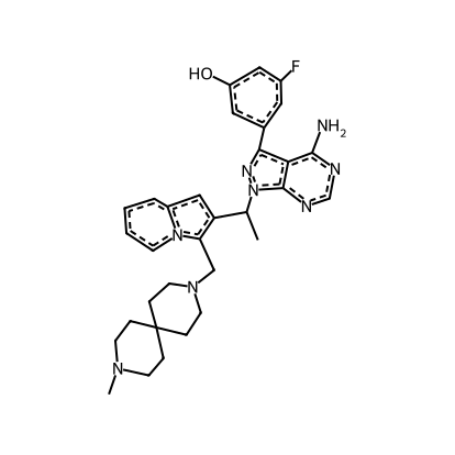 CC(c1cc2ccccn2c1CN1CCC2(CCN(C)CC2)CC1)n1nc(-c2cc(O)cc(F)c2)c2c(N)ncnc21